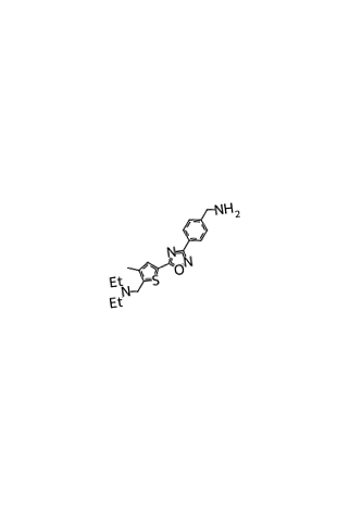 CCN(CC)Cc1sc(-c2nc(-c3ccc(CN)cc3)no2)cc1C